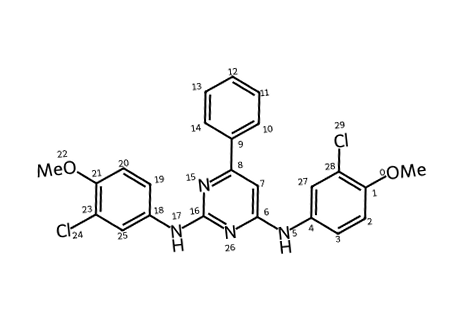 COc1ccc(Nc2cc(-c3ccccc3)nc(Nc3ccc(OC)c(Cl)c3)n2)cc1Cl